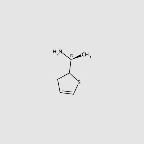 C[C@H](N)C1CC=CS1